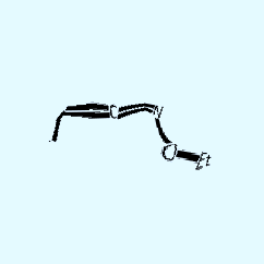 [CH2]C=C=NOCC